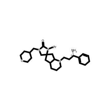 CC(C)N1C(=O)N(CC2CCOCC2)CC12CC1CCCN(CC[C@H](N)C3=CCCC=C3)C1C2